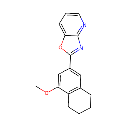 COc1cc(-c2nc3ncccc3o2)cc2c1CCCC2